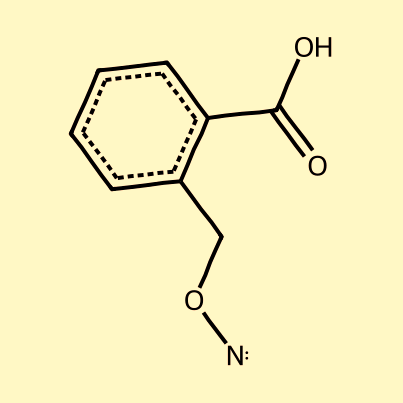 [N]OCc1ccccc1C(=O)O